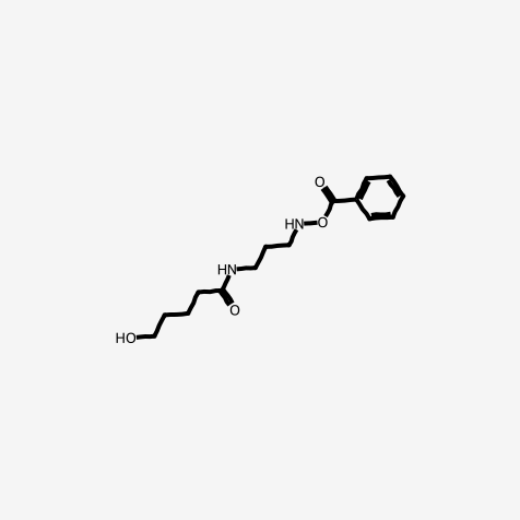 O=C(CCCCO)NCCCNOC(=O)c1ccccc1